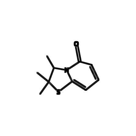 CC1n2c(cccc2=O)SC1(C)C